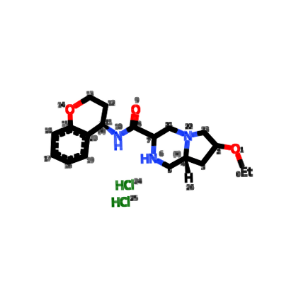 CCOC1C[C@@H]2CNC(C(=O)N[C@@H]3CCOc4ccccc43)CN2C1.Cl.Cl